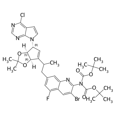 CC(Cc1cc(F)c2cc(Br)c(N(C(=O)OC(C)(C)C)C(=O)OC(C)(C)C)nc2c1)C1=C[C@@H](n2ccc3c(Cl)ncnc32)[C@@H]2OC(C)(C)O[C@H]12